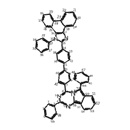 c1ccc(-c2nc(-c3ccc(-c4ccc(-c5nc6c7ccccc7c7ccccc7c6n5-c5ccccc5)cc4)cc3)n3c(-c4ccccc4)c4ccccc4c3n2)cc1